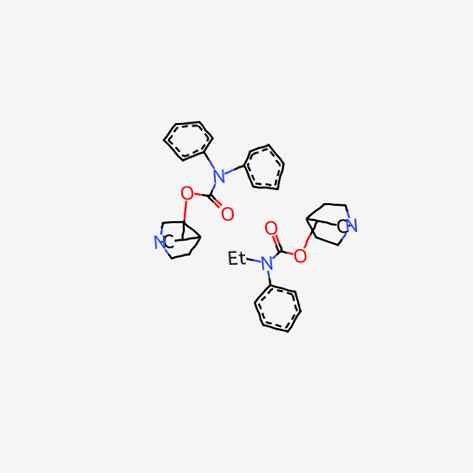 CCN(C(=O)OC1CN2CCC1CC2)c1ccccc1.O=C(OC1CN2CCC1CC2)N(c1ccccc1)c1ccccc1